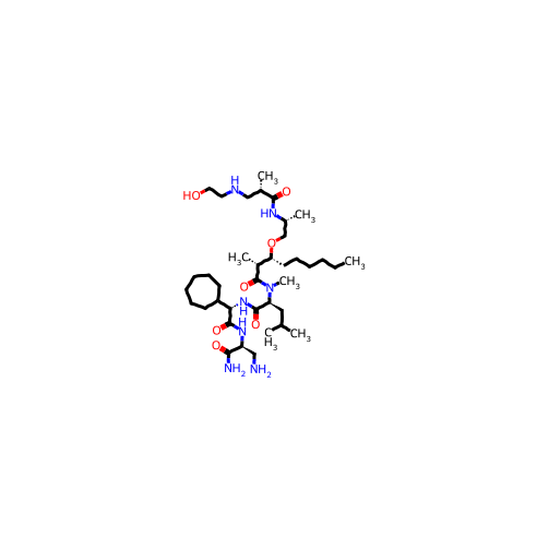 CCCCCC[C@@H](OC[C@@H](C)NC(=O)[C@@H](C)CNCCO)[C@@H](C)C(=O)N(C)[C@@H](CC(C)C)C(=O)N[C@H](C(=O)N[C@@H](CN)C(N)=O)C1CCCCCC1